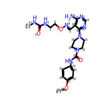 CCNC(=O)NCCO/N=C/c1c(N)ncnc1N1CCN(C(=O)Nc2ccc(OC(C)C)cc2)CC1